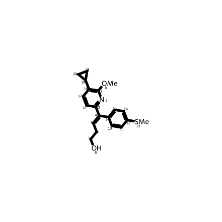 COc1nc(/C(=C/CCO)c2ccc(SC)cc2)ccc1C1CC1